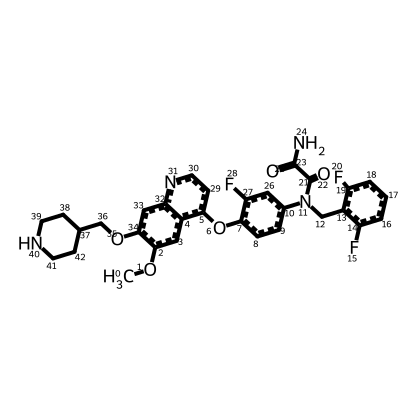 COc1cc2c(Oc3ccc(N(Cc4c(F)cccc4F)C(=O)C(N)=O)cc3F)ccnc2cc1OCC1CCNCC1